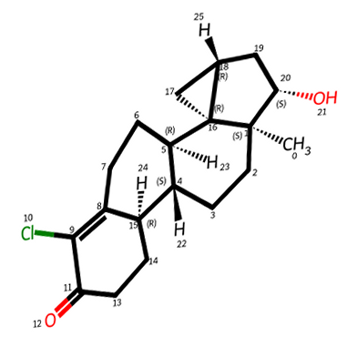 C[C@]12CC[C@H]3[C@@H](CCC4=C(Cl)C(=O)CC[C@@H]43)[C@]13C[C@@H]3C[C@@H]2O